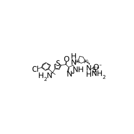 CC(N)(c1cccc(Cl)c1)c1csc(C(=O)C2=CN=CNC2N[C@H]2CC[C@@H](CN[S+](N)[O-])C2)c1